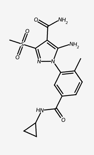 Cc1ccc(C(=O)NC2CC2)cc1-n1nc(S(C)(=O)=O)c(C(N)=O)c1N